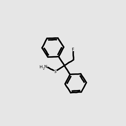 NSC(CF)(c1ccccc1)c1ccccc1